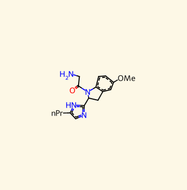 CCCc1cnc(C2Cc3cc(OC)ccc3N2C(=O)CN)[nH]1